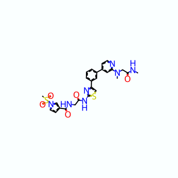 CNC(=O)CN(C)c1cc(-c2cccc(-c3csc(NC(=O)CNC(=O)c4ccn(S(C)(=O)=O)c4)n3)c2)ccn1